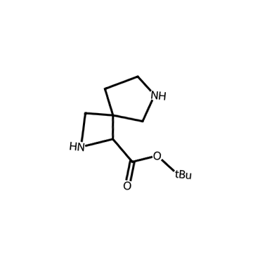 CC(C)(C)OC(=O)C1NCC12CCNC2